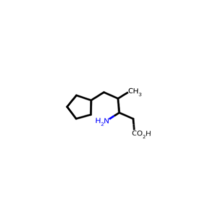 CC(CC1CCCC1)C(N)CC(=O)O